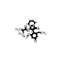 CCc1cc(Cl)cc(OC)c1-c1c(OC(=O)C(C)C)n2n(c1=O)CCCC2